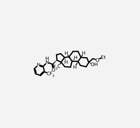 CCOC[C@@]1(O)CC[C@H]2[C@H](CC[C@@H]3[C@@H]2CC[C@]2(C)[C@@H](C(=O)Nc4ncccc4C(F)(F)F)CC[C@@H]32)C1